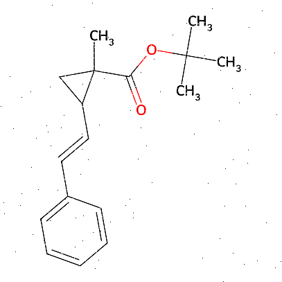 CC(C)(C)OC(=O)C1(C)CC1/C=C/c1ccccc1